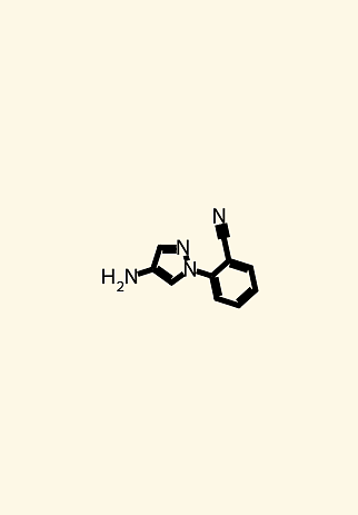 N#Cc1ccccc1-n1cc(N)cn1